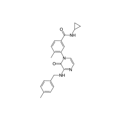 Cc1ccc(CNc2nccn(-c3cc(C(=O)NC4CC4)ccc3C)c2=O)cc1